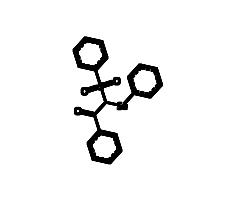 O=C(c1ccccc1)C([Se]c1ccccc1)S(=O)(=O)c1ccccc1